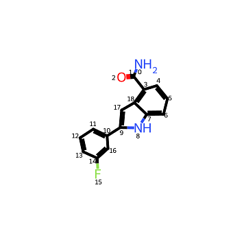 NC(=O)c1cccc2[nH]c(-c3cccc(F)c3)cc12